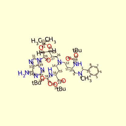 CN(Cc1ccccc1)C[C@@H](CCN(CCC(NC(=O)OC(C)(C)C)C(=O)OC(C)(C)C)C[C@H]1O[C@@H](n2cnc3c(N)ncnc32)[C@@H]2OC(C)(C)O[C@@H]21)NC(=O)OC(C)(C)C